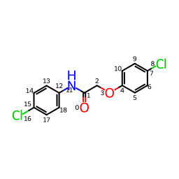 O=C(COc1ccc(Cl)cc1)Nc1ccc(Cl)cc1